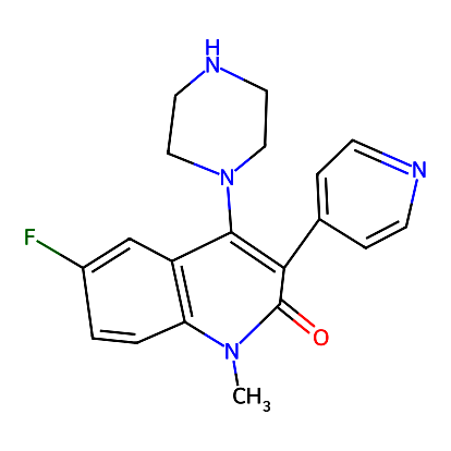 Cn1c(=O)c(-c2ccncc2)c(N2CCNCC2)c2cc(F)ccc21